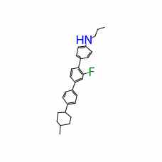 CCCNc1ccc(-c2ccc(-c3ccc(C4CCC(C)CC4)cc3)cc2F)cc1